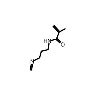 C=NCCCNC(=O)C(=C)C